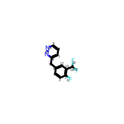 Fc1ccc([CH]c2cccnn2)cc1C(F)F